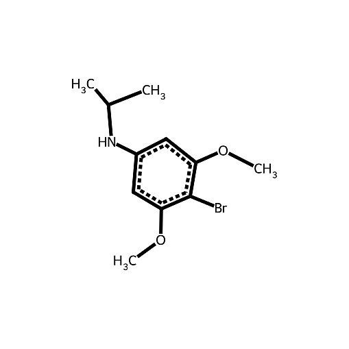 COc1cc(NC(C)C)cc(OC)c1Br